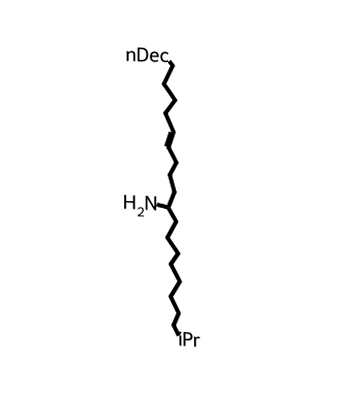 CCCCCCCCCCCCCCC=CCCCC(N)CCCCCCCCC(C)C